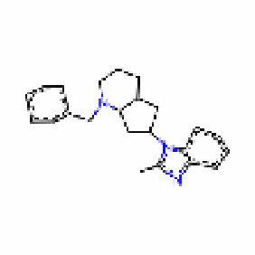 Cc1nc2ccccc2n1C1CC2CCCN(Cc3ccccc3)C2C1